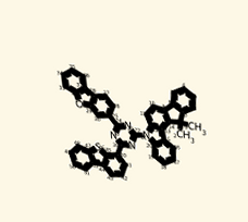 CC1(C)c2ccccc2-c2ccc3c(c21)c1ccccc1n3-c1nc(-c2ccc3c(c2)oc2ccccc23)nc(-c2cccc3c2sc2ccccc23)n1